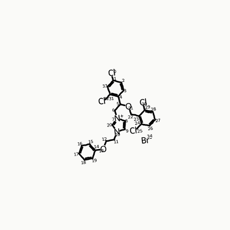 Clc1ccc(C(C[n+]2ccn(CCOc3ccccc3)c2)OCc2c(Cl)cccc2Cl)c(Cl)c1.[Br-]